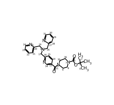 CC(C)(C)OC(=O)N1CCN(C(=O)c2ccc(CN(Cc3ccccn3)Cc3ccccn3)nc2)CC1